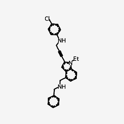 CCn1c(C#CCNc2ccc(Cl)cc2)cc2c(CNCc3ccccc3)cccc21